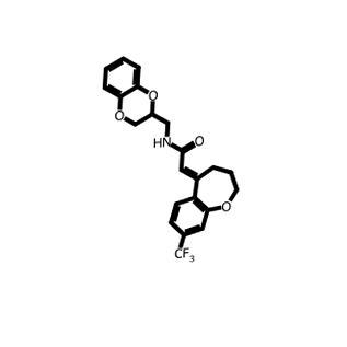 O=C(C=C1CCCOc2cc(C(F)(F)F)ccc21)NCC1COc2ccccc2O1